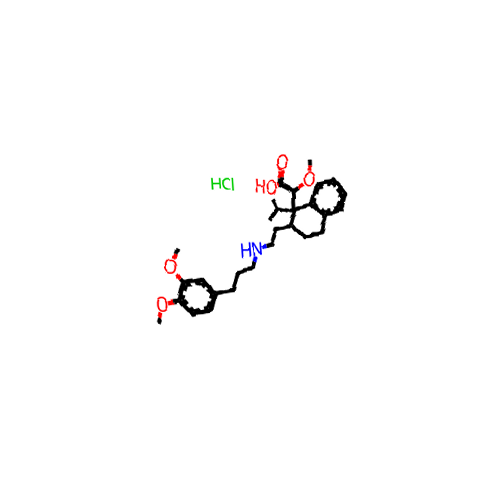 COc1ccc(CCCNCCC2CCc3ccccc3C2(C(C)C)C(OC)C(=O)O)cc1OC.Cl